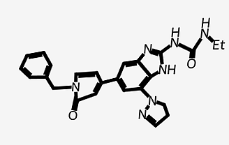 CCNC(=O)Nc1nc2cc(-c3ccn(Cc4ccccc4)c(=O)c3)cc(N3CCC=N3)c2[nH]1